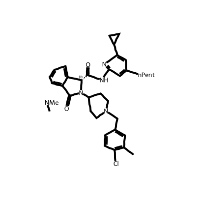 CCCCCc1cc(NC(=O)[C@H]2c3ccccc3C(=O)N2C2CCN(Cc3ccc(Cl)c(C)c3)CC2)nc(C2CC2)c1.CNC